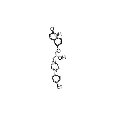 CCc1ccc(N2CCN(C[C@@H](O)COc3ccc4[nH]c(=O)ccc4c3)CC2)cc1